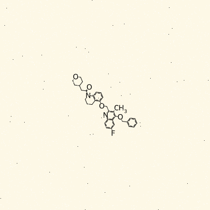 Cc1c(COc2cccc3c2CCCN3C(=O)CC2CCOCC2)nc2ccc(F)cc2c1OCc1ccccc1